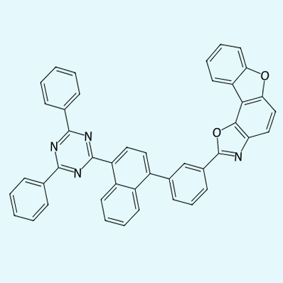 c1ccc(-c2nc(-c3ccccc3)nc(-c3ccc(-c4cccc(-c5nc6ccc7oc8ccccc8c7c6o5)c4)c4ccccc34)n2)cc1